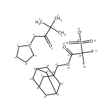 CC(C)(C)C(=O)C[S+]1CCCC1.O=C(OCC12CC3CC(CC(C3)C1)C2)C(F)(F)S(=O)(=O)[O-]